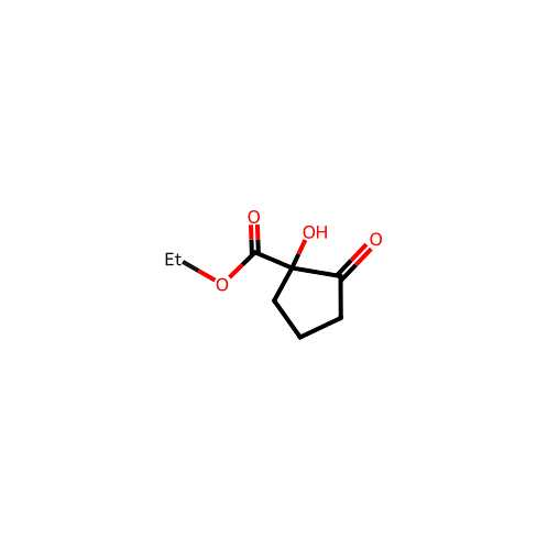 CCOC(=O)C1(O)CCCC1=O